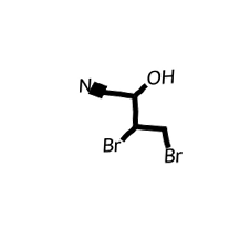 N#CC(O)C(Br)CBr